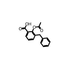 CC(=O)Oc1c(Cc2ccccc2)cccc1C(=O)O